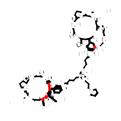 CCC(C)[C@@H]1NC(=O)[C@@H]2CCCN2C(=O)[C@H](CC(=O)O)NC(=O)[C@@H]2CSc3[nH]c4ccc(NC(=O)CCCNP(=O)(NCCCC(=O)Nc5ccc6[nH]c7c(c6c5)C[C@@H]5NC(=O)[C@H](C(C)CC)NC(=O)[C@@H]6CCCN6C(=O)[C@H](CC(=O)O)NC(=O)[C@H](CS7)NC(=O)CNC(=O)[C@H]([C@@H](C)CC)NC(=O)CNC5=O)NCCCN5C(=O)C=CC5=O)cc4c3C[C@H](NC1=O)C(=O)NCC(=O)N[C@@H]([C@@H](C)CC)C(=O)NCC(=O)N2